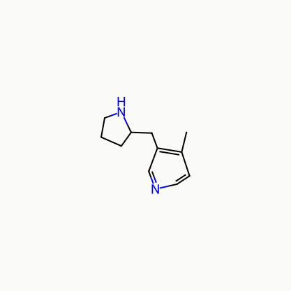 Cc1ccncc1CC1CCCN1